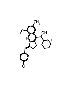 Cc1cc(C)c2nc3c(c(C(O)C4CCCCN4)c2c1)CC/C3=C\c1ccc(Cl)cc1